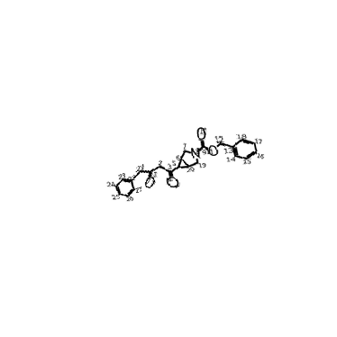 O=C(CC(=O)C1C2CN(C(=O)OCc3ccccc3)CC21)Cc1ccccc1